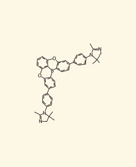 CC1=NCC(C)(C)N1c1ccc(-c2ccc3c(c2)Oc2cccc4c2B3c2ccc(-c3ccc(N5C(C)=NCC5(C)C)cc3)cc2O4)cc1